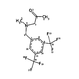 CC(=O)CN(C)Cc1cc(C(F)(F)F)cc(C(F)(F)F)c1